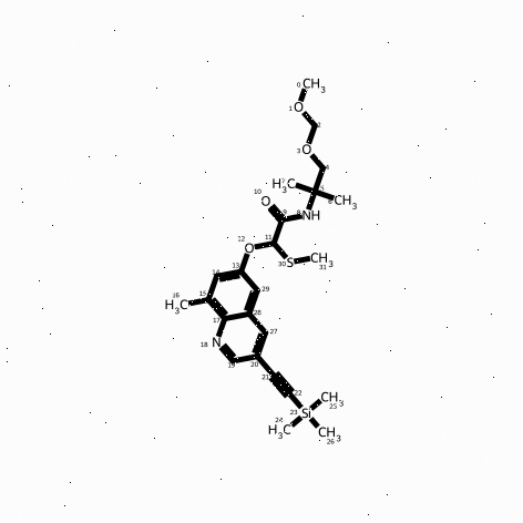 COCOCC(C)(C)NC(=O)C(Oc1cc(C)c2ncc(C#C[Si](C)(C)C)cc2c1)SC